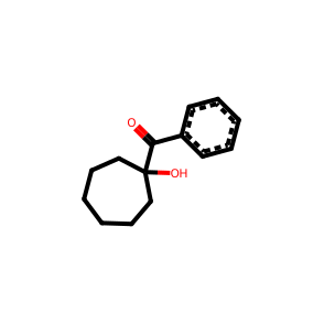 O=C(c1ccccc1)C1(O)CCCCCC1